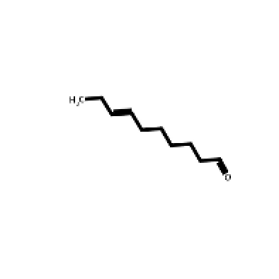 CCC=CCCCCC[C]=O